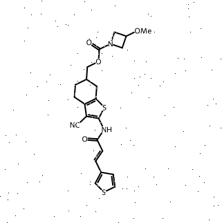 COC1CN(C(=O)OCC2CCc3c(sc(NC(=O)C=Cc4ccsc4)c3C#N)C2)C1